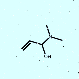 C=CC(O)N(C)C